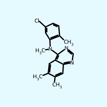 Cc1cc2ncnc(N(C)c3cc(Cl)ccc3C)c2cc1C